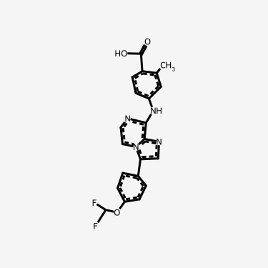 Cc1cc(Nc2nccn3c(-c4ccc(OC(F)F)cc4)cnc23)ccc1C(=O)O